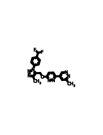 Cc1cc(-c2ccc(OCc3c(C)nnn3-c3ccc(C(F)F)cc3)nn2)cnn1